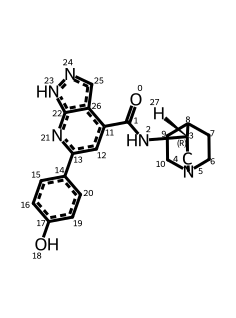 O=C(N[C@H]1CN2CCC1CC2)c1cc(-c2ccc(O)cc2)nc2[nH]ncc12